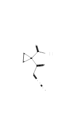 CC(=O)C1(C(=O)C=[N+]=[N-])CC1